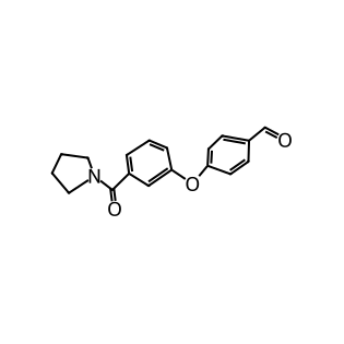 O=Cc1ccc(Oc2cccc(C(=O)N3CCCC3)c2)cc1